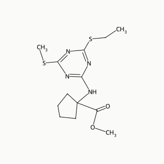 CCSc1nc(NC2(C(=O)OC)CCCC2)nc(SC)n1